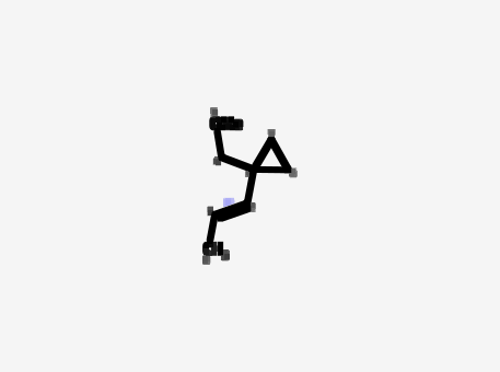 C/C=C/C1(COC)CC1